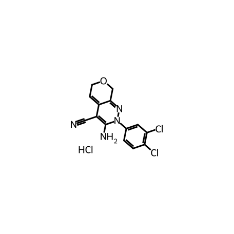 Cl.N#CC1=C(N)N(c2ccc(Cl)c(Cl)c2)N=C2COCC=C21